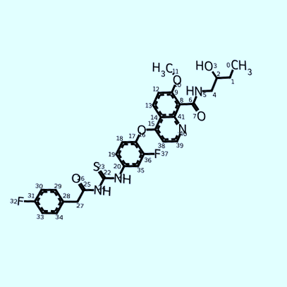 CCC(O)CNC(=O)c1c(OC)ccc2c(Oc3ccc(NC(=S)NC(=O)Cc4ccc(F)cc4)cc3F)ccnc12